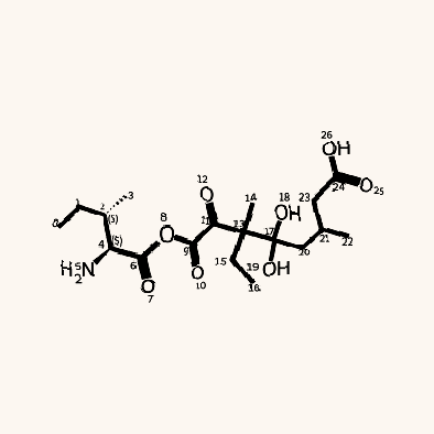 CC[C@H](C)[C@H](N)C(=O)OC(=O)C(=O)C(C)(CC)C(O)(O)CC(C)CC(=O)O